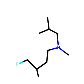 CC(C)CN(C)CCC(C)CF